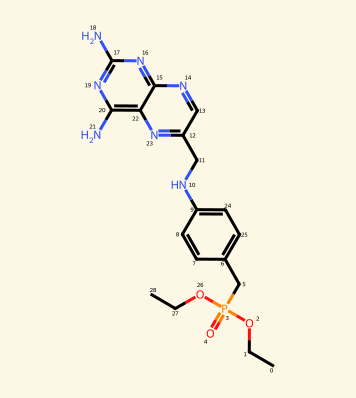 CCOP(=O)(Cc1ccc(NCc2cnc3nc(N)nc(N)c3n2)cc1)OCC